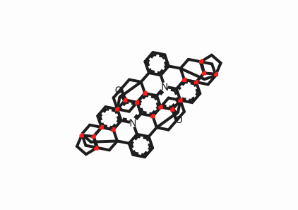 O=c1c2ccc(C3CCCC3)cc2n(-c2c(C34CC5CC(CC(C5)C3)C4)cccc2C23CC4CC(CC(C4)C2)C3)c2cc3c(=O)c4ccc(C5CCCC5)cc4n(-c4c(C56CC7CC(CC(C7)C5)C6)cccc4C45CC6CC(CC(C6)C4)C5)c3cc12